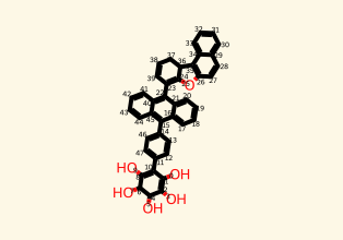 OC1=C(O)C(O)C(O)C(O)=C1c1ccc(-c2c3ccccc3c(C3=C4Oc5ccc6ccccc6c5C4CC=C3)c3ccccc23)cc1